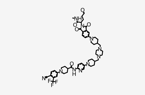 CNC(=O)C(CCC=O)N1C(=O)c2ccc(N3CCC(CN4CCN(CC5CCN(c6ccc(NC(=O)C7CCN(c8ccc(C#N)c(C(F)(F)F)c8)CC7)nc6)CC5)CC4)CC3)cc2C1=O